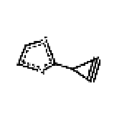 C1#CC1c1nccs1